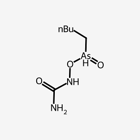 CCCCC[AsH](=O)ONC(N)=O